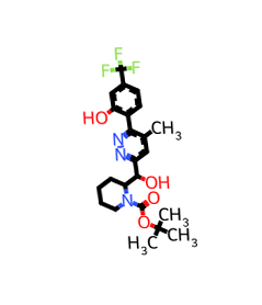 Cc1cc(C(O)C2CCCCN2C(=O)OC(C)(C)C)nnc1-c1ccc(C(F)(F)F)cc1O